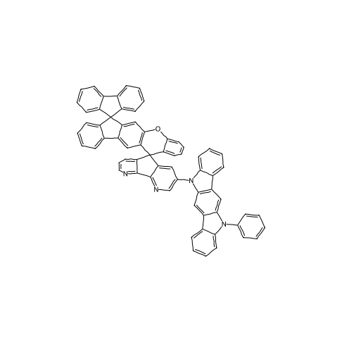 c1ccc(-n2c3ccccc3c3cc4c(cc32)c2ccccc2n4-c2cnc3c(c2)C2(c4ccccc4Oc4cc5c(cc42)-c2ccccc2C52c4ccccc4-c4ccccc42)c2cccnc2-3)cc1